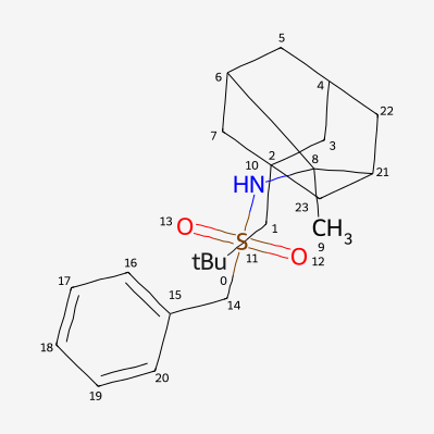 CC(C)(C)CC12CC3CC(C1)C(C)(NS(=O)(=O)Cc1ccccc1)C(C3)C2